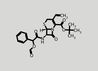 C=CC1=C(C(=O)OC(C)(C)C)N2C(=O)[C@@H](NC(=O)C(OC=O)c3ccccc3)[C@@H]2SC1